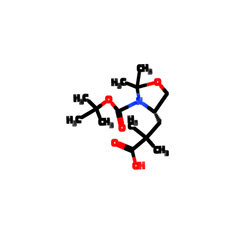 CC(C)(C)OC(=O)N1[C@@H](CC(C)(C)C(=O)O)COC1(C)C